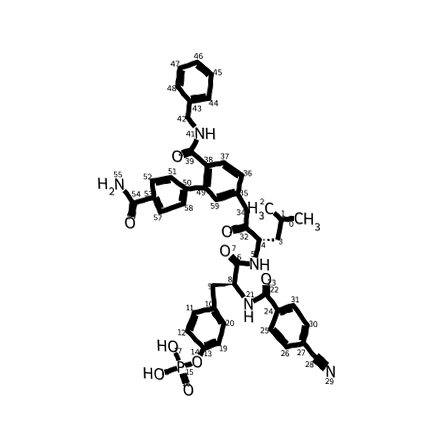 CC(C)C[C@H](NC(=O)[C@H](Cc1ccc(OP(=O)(O)O)cc1)NC(=O)c1ccc(C#N)cc1)C(=O)Cc1ccc(C(=O)NCc2ccccc2)c(-c2ccc(C(N)=O)cc2)c1